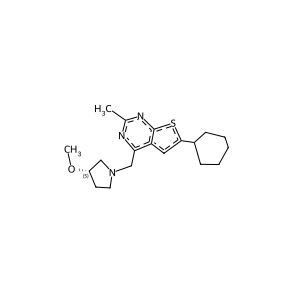 CO[C@H]1CCN(Cc2nc(C)nc3sc(C4CCCCC4)cc23)C1